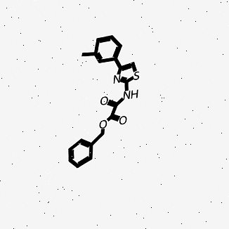 Cc1cccc(-c2csc(NC(=O)C(=O)OCc3ccccc3)n2)c1